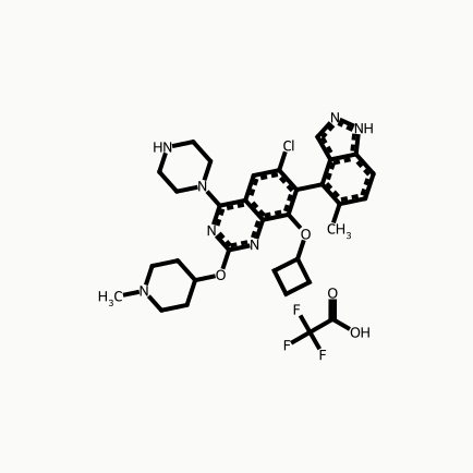 Cc1ccc2[nH]ncc2c1-c1c(Cl)cc2c(N3CCNCC3)nc(OC3CCN(C)CC3)nc2c1OC1CCC1.O=C(O)C(F)(F)F